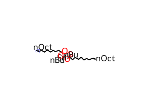 CCCCCCCCC=CCCCCCCCC(=O)[O][Sn]([CH2]CCC)([CH2]CCC)[O]C(=O)CCCCCCC/C=C\CCCCCCCC